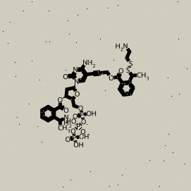 CC(N)c1ccccc1C(=O)O[C@@H]1C[C@H](n2cc(C#CCOC(=O)c3ccccc3C(C)SSCCN)c(N)nc2=O)OC1COP(=O)(O)OP(=O)(O)OP(=O)(O)O